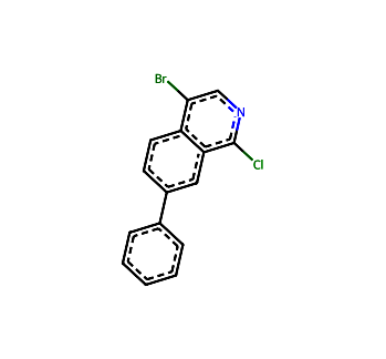 Clc1ncc(Br)c2ccc(-c3ccccc3)cc12